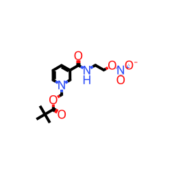 CC(C)(C)C(=O)OCN1C=CC=C(C(=O)NCCO[N+](=O)[O-])C1